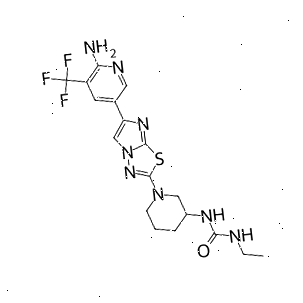 CCNC(=O)NC1CCCN(c2nn3cc(-c4cnc(N)c(C(F)(F)F)c4)nc3s2)C1